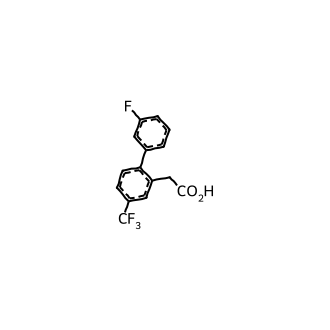 O=C(O)Cc1cc(C(F)(F)F)ccc1-c1cccc(F)c1